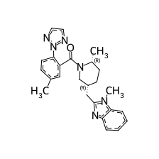 Cc1ccc(-n2nccn2)c(C(=O)N2C[C@@H](Cc3nc4ccccc4n3C)CC[C@H]2C)c1